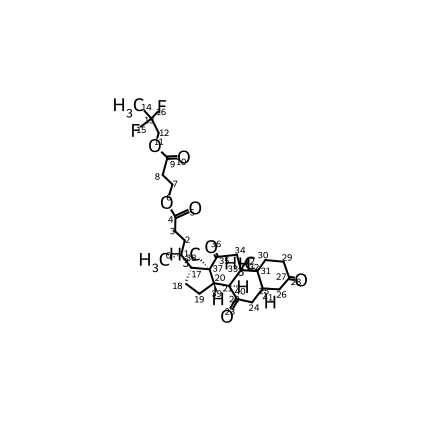 C[C@H](CCC(=O)OCCC(=O)OCC(C)(F)F)[C@H]1CC[C@H]2[C@@H]3C(=O)C[C@@H]4CC(=O)CC[C@]4(C)[C@H]3CC(=O)[C@]12C